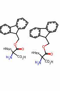 CCCCCCC(N)(C(=O)O)C(=O)OCC1c2ccccc2-c2ccccc21.CCCCCCCCCC(N)(C(=O)O)C(=O)OCC1c2ccccc2-c2ccccc21